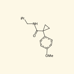 COc1ccc(C2(C(=O)NCC(C)C)CC2)cc1